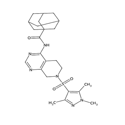 Cc1nn(C)c(C)c1S(=O)(=O)N1CCc2c(ncnc2NC(=O)C23CC4CC(CC(C4)C2)C3)C1